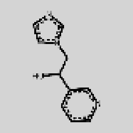 OC(Cn1ccnc1)c1cccnc1